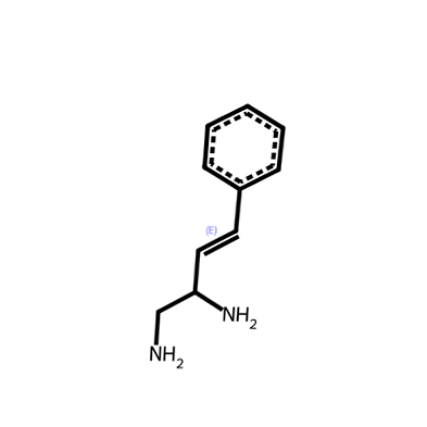 NCC(N)/C=C/c1ccccc1